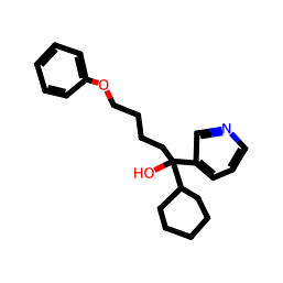 OC(CCCCOc1ccccc1)(c1cccnc1)C1CCCCC1